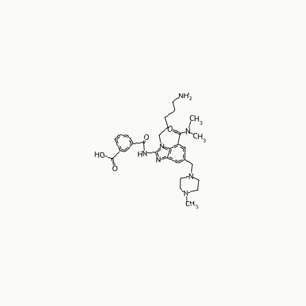 CN1CCN(Cc2cc(C(=O)N(C)C)c3c(c2)nc(NC(=O)c2cccc(C(=O)O)c2)n3CCCCCN)CC1